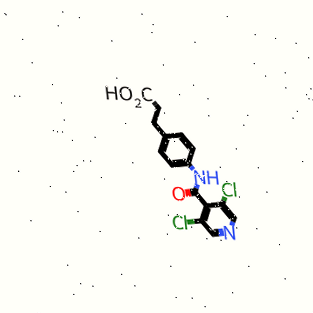 O=C(O)CCc1ccc(NC(=O)c2c(Cl)cncc2Cl)cc1